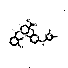 Cc1cc(Nc2ccc(F)c(C[C@@]3(C(=O)O)CCN([C@@H](C)c4cccc(Cl)c4F)[C@H](C)C3)n2)n[nH]1